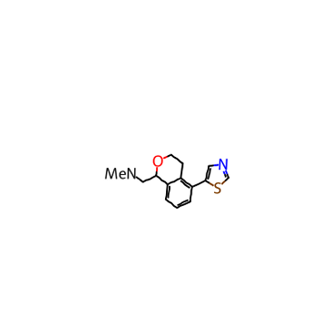 CNCC1OCCc2c(-c3cncs3)cccc21